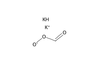 O=CO[O-].[K+].[KH]